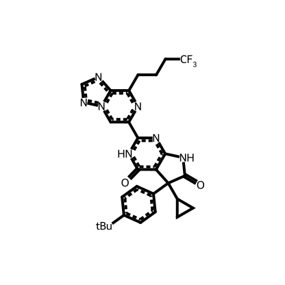 CC(C)(C)c1ccc(C2(C3CC3)C(=O)Nc3nc(-c4cn5ncnc5c(CCCC(F)(F)F)n4)[nH]c(=O)c32)cc1